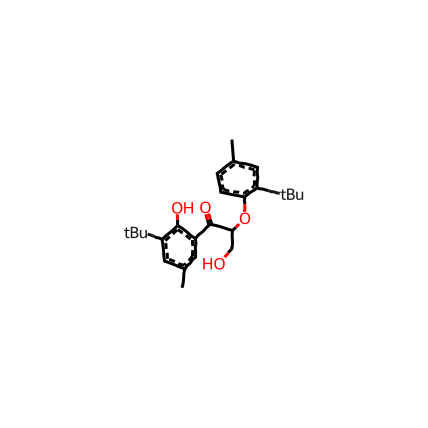 Cc1ccc(OC(CO)C(=O)c2cc(C)cc(C(C)(C)C)c2O)c(C(C)(C)C)c1